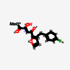 COC(=O)/C(O)=C/C(=O)c1occc1Cc1ccc(F)cc1